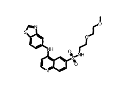 COCCOCCNS(=O)(=O)c1ccc2nccc(Nc3ccc4scnc4c3)c2c1